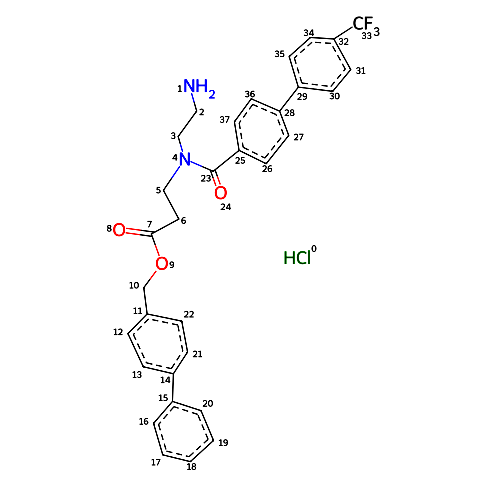 Cl.NCCN(CCC(=O)OCc1ccc(-c2ccccc2)cc1)C(=O)c1ccc(-c2ccc(C(F)(F)F)cc2)cc1